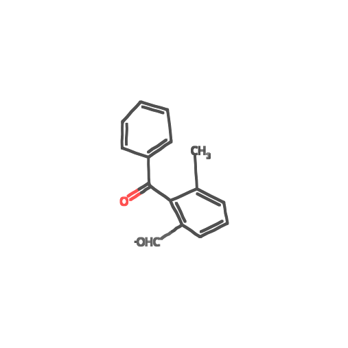 Cc1cccc([C]=O)c1C(=O)c1ccccc1